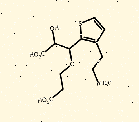 CCCCCCCCCCCCc1ccsc1C(OCCC(=O)O)C(O)C(=O)O